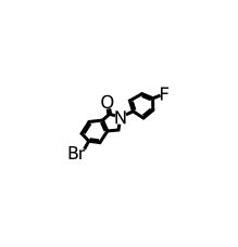 O=C1c2ccc(Br)cc2CN1c1ccc(F)cc1